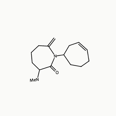 C=C1CCCC(NC)C(=O)N1C1CC=CCCC1